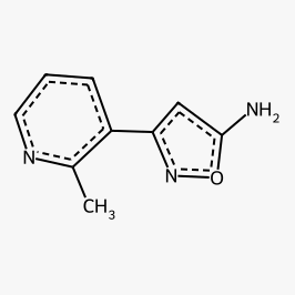 Cc1ncccc1-c1cc(N)on1